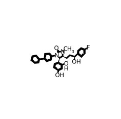 CN1C(=O)N(c2ccc(-c3ccccc3)cc2)[C@H](c2ccc(O)cc2O)[C@@H]1CC[C@H](O)c1ccc(F)cc1